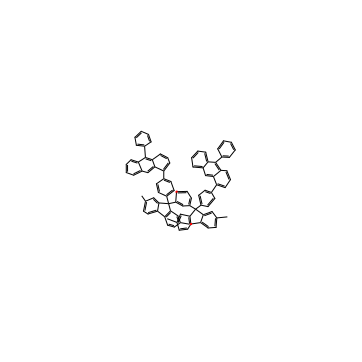 Cc1ccc2c(c1)C(c1ccc(-c3cccc4c(-c5ccccc5)c5ccccc5cc34)cc1)(c1cccc(C3(c4ccc(-c5cccc6c(-c7ccccc7)c7ccccc7cc56)cc4)c4cc(C)ccc4-c4ccc(C)cc43)c1)c1cc(C)ccc1-2